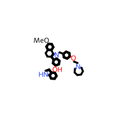 COc1ccc2c(c1)CCc1c-2n(Cc2ccc(OCCN3CCCCCC3)cc2)c2ccc(O)cc12.c1ccc2[nH]ccc2c1